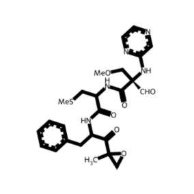 COC[C@](C=O)(Nc1cnccn1)C(=O)NC(CSC)C(=O)NC(Cc1ccccc1)C(=O)C1(C)CO1